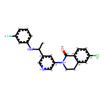 CC(Nc1cccc(F)c1)c1cncc(N2CCc3cc(Cl)ccc3C2=O)c1